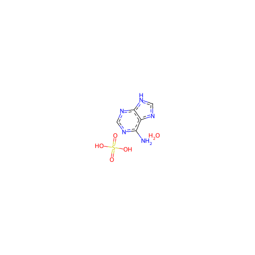 Nc1ncnc2[nH]cnc12.O.O=S(=O)(O)O